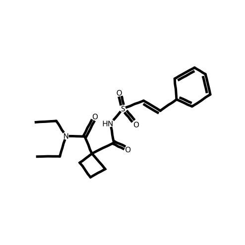 CCN(CC)C(=O)C1(C(=O)NS(=O)(=O)C=Cc2ccccc2)CCC1